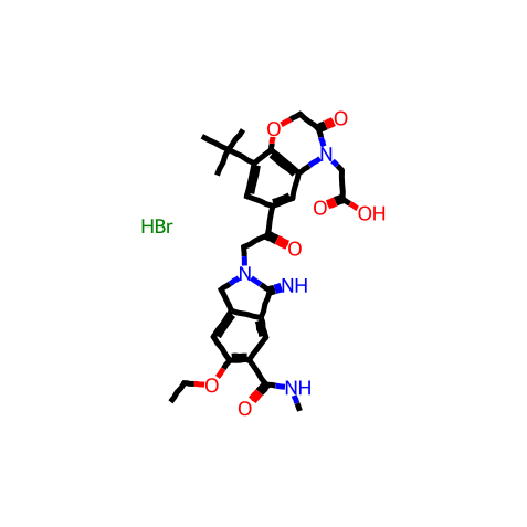 Br.CCOc1cc2c(cc1C(=O)NC)C(=N)N(CC(=O)c1cc3c(c(C(C)(C)C)c1)OCC(=O)N3CC(=O)O)C2